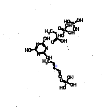 C/C=C/C=O.CCC(=O)O.O=P(O)(O)O.O=P(O)(O)O.OP(O)O.Oc1nc(O)nc(O)n1